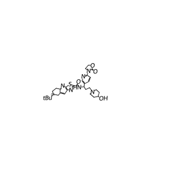 CC(C)(C)[C@H]1CCc2nc3sc(C(=O)NC(CCN4CCC(O)CC4)c4ccc(N5CCOC5=O)nc4)nc3cc2C1